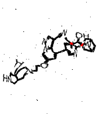 CC(C)C(O)CN1C2CC1CN(c1ncc(-c3cc(OCCN4CC5CNC[C@@H]5C4)cn4ncc(C#N)c34)cn1)C2